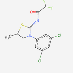 CC1CN(c2cc(Cl)cc(Cl)c2)C(=NC(=O)C(F)F)S1